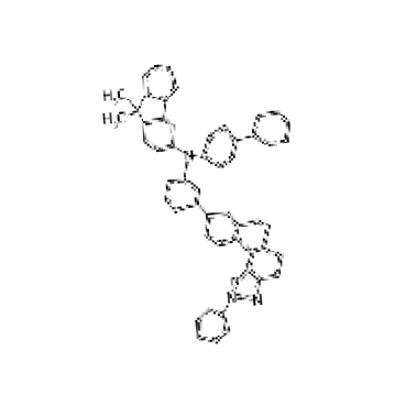 CC1(C)c2ccccc2-c2cc(N(c3ccc(-c4ccccc4)cc3)c3cccc(-c4ccc5c(ccc6ccc7nn(-c8ccccc8)nc7c65)c4)c3)ccc21